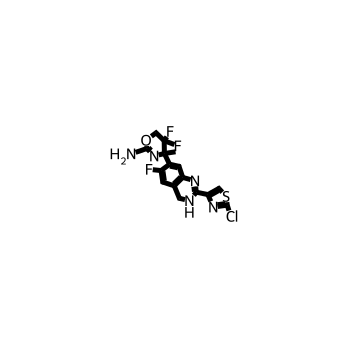 CC1(c2cc3c(cc2F)CNC(c2csc(Cl)n2)=N3)N=C(N)OCC1(F)F